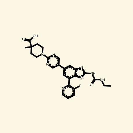 CCNC(=O)Nc1nc2cc(-c3cnc(N4CCC(C)(C(=O)O)CC4)nc3)cc(-c3ncccc3F)c2s1